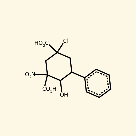 O=C(O)C1(Cl)CC(c2ccccc2)C(O)C(C(=O)O)([N+](=O)[O-])C1